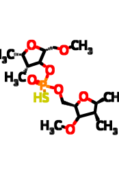 COC[C@H]1O[C@@H](C)[C@@H](C)C1OP(=O)(S)OC[C@H]1O[C@@H](C)[C@@H](C)C1OC